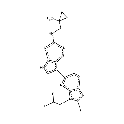 Cc1nc2ccc(-c3c[nH]c4nc(NCC5(C(F)(F)F)CC5)ncc34)nc2n1CC(F)F